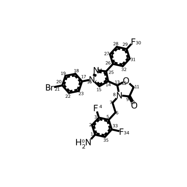 Nc1cc(F)c(CCN2C(=O)COC2c2cn(-c3ccc(Br)cc3)nc2-c2ccc(F)cc2)c(F)c1